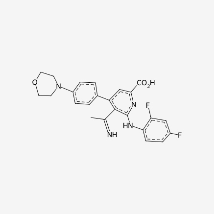 CC(=N)c1c(-c2ccc(N3CCOCC3)cc2)cc(C(=O)O)nc1Nc1ccc(F)cc1F